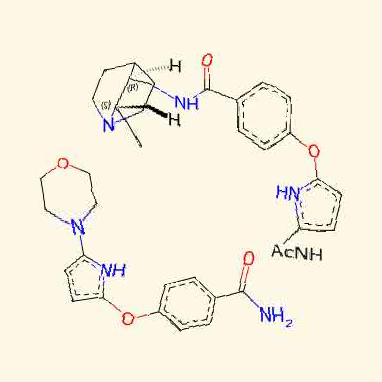 CC(=O)Nc1ccc(Oc2ccc(C(=O)N[C@@H]3C4CCN(CC4)[C@H]3C)cc2)[nH]1.NC(=O)c1ccc(Oc2ccc(N3CCOCC3)[nH]2)cc1